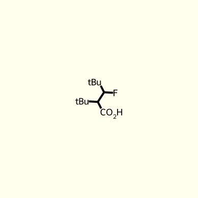 CC(C)(C)C(F)C(C(=O)O)C(C)(C)C